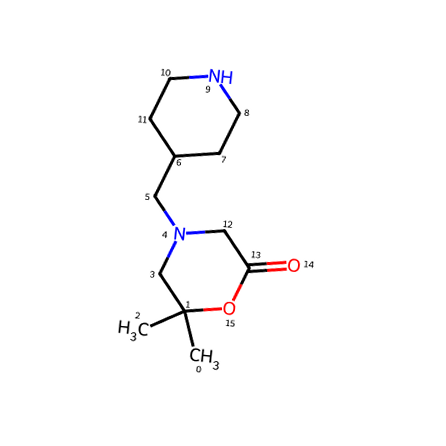 CC1(C)CN(CC2CCNCC2)CC(=O)O1